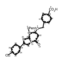 CCCCCn1c(OCc2ccc(C(=O)O)cc2)cc(=O)n2cc(-c3ccc(Cl)cc3)nc12